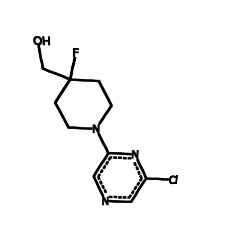 OCC1(F)CCN(c2cncc(Cl)n2)CC1